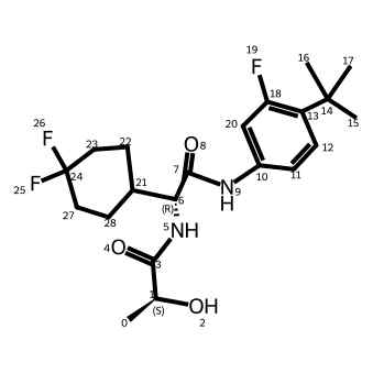 C[C@H](O)C(=O)N[C@@H](C(=O)Nc1ccc(C(C)(C)C)c(F)c1)C1CCC(F)(F)CC1